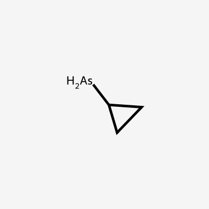 [AsH2]C1CC1